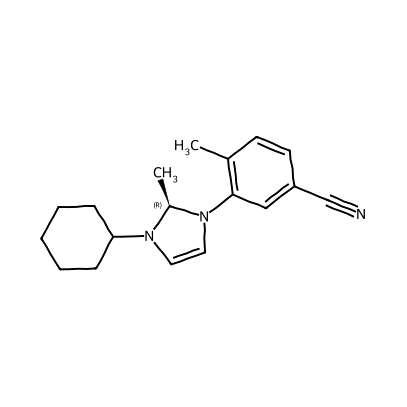 Cc1ccc(C#N)cc1N1C=CN(C2CCCCC2)[C@H]1C